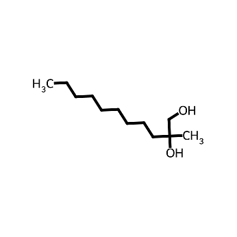 CCCCCCCCCC(C)(O)CO